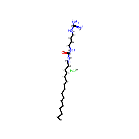 CCCCCCCCCCCCCCCCNC(=O)NCCCCNC(=N)N.Cl